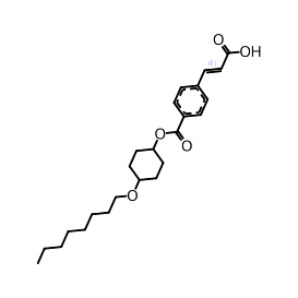 CCCCCCCCOC1CCC(OC(=O)c2ccc(/C=C/C(=O)O)cc2)CC1